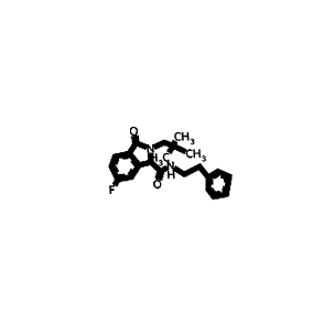 CC(C)(C)CN1C(=O)c2ccc(F)cc2C1C(=O)NCCc1ccccc1